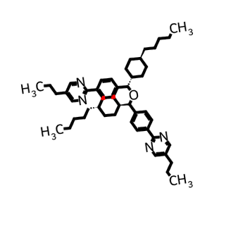 CCCCC[C@H]1CC[C@H](C(OC(c2ccc(-c3ncc(CCC)cn3)cc2)[C@H]2CC[C@H](CCCCC)CC2)c2ccc(-c3ncc(CCC)cn3)cc2)CC1